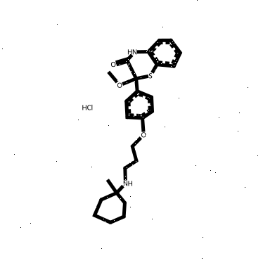 COC1(c2ccc(OCCCNC3(C)CCCCC3)cc2)Sc2ccccc2NC1=O.Cl